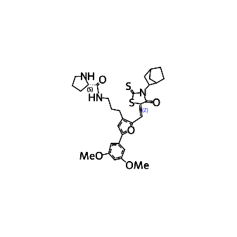 COc1cc(OC)cc(-c2cc(CCCNC(=O)[C@@H]3CCCN3)c(/C=C3\SC(=S)N(C4CC5CCC4C5)C3=O)o2)c1